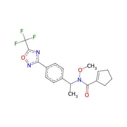 CON(C(=O)C1=CCCC1)C(C)c1ccc(-c2noc(C(F)(F)F)n2)cc1